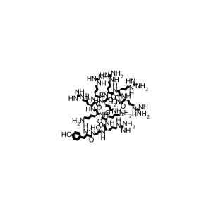 N=C(N)NCCC[C@H](NC(=O)[C@H](CCCNC(=N)N)NC(=O)[C@H](CCCNC(=N)N)NC(=O)[C@H](CCC(N)=O)NC(=O)[C@H](CCCNC(=N)N)NC(=O)[C@H](CCCNC(=N)N)NC(=O)[C@H](CCCCN)NC(=O)[C@H](CCCCN)NC(=O)[C@H](CCCNC(=N)N)NC(=O)CNC(=O)[C@@H](N)Cc1ccc(O)cc1)C(N)=O